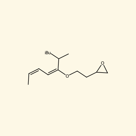 C/C=C\C=C(\OCCC1CO1)C(C)C(C)CC